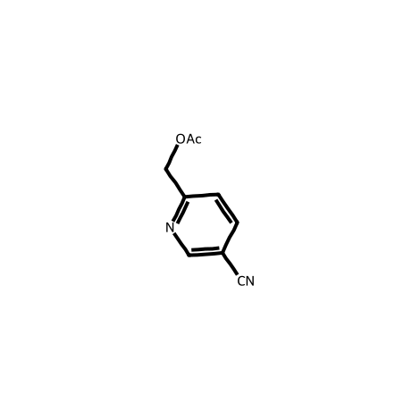 CC(=O)OCc1ccc(C#N)cn1